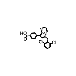 O=C(O)c1ccc(-c2cc(Cc3c(Cl)cccc3Cl)n3cccnc23)cc1